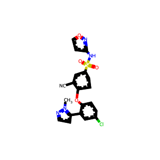 Cn1nccc1-c1cc(Cl)ccc1Oc1ccc(S(=O)(=O)Nc2ccon2)cc1C#N